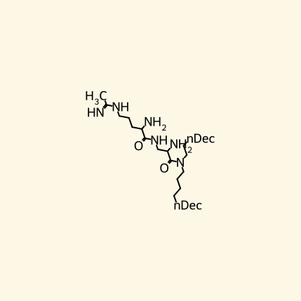 CCCCCCCCCCCCCCN(CCCCCCCCCCCC)C(=O)C(N)CNC(=O)C(N)CCCNC(C)=N